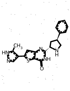 Cc1[nH]ncc1-c1cc2nc([C@@H]3C[C@@H](c4ccccc4)CN3)[nH]c(=O)c2s1